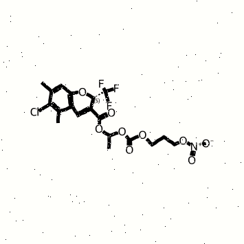 Cc1cc2c(c(C)c1Cl)C=C(C(=O)OC(C)OC(=O)OCCCO[N+](=O)[O-])[C@@H](C(F)(F)F)O2